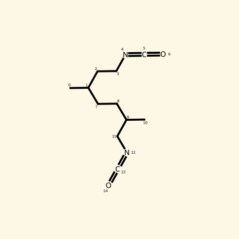 CC(CCN=C=O)CCC(C)CN=C=O